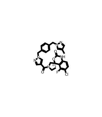 Cc1cnn(Cc2ccc(Cn3cc(C(=O)N4CC[C@]5(C4)OC(=O)Nc4ccc(Cl)c(F)c45)cn3)cc2)c1